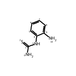 NC(=S)Nc1ccccc1N